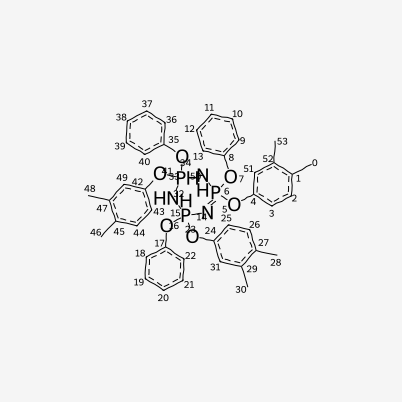 Cc1ccc(OP2(Oc3ccccc3)=N[PH](Oc3ccccc3)(Oc3ccc(C)c(C)c3)N[PH](Oc3ccccc3)(Oc3ccc(C)c(C)c3)N2)cc1C